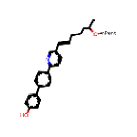 CCCCCOC(C)CCC/C=C/c1ccc(-c2ccc(-c3ccc(O)cc3)cc2)nc1